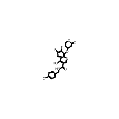 O=C1CC(Oc2c(F)c(F)cc3c(O)c(C(=O)NCc4ccc(Cl)cc4)cnc23)CCO1